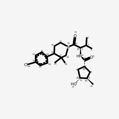 CC(C)[C@@H](NC(=O)[C@@H]1C[C@@H](C)[C@H](O)C1)C(=O)N1CCC(c2ccc(Cl)cc2)C(C)(C)C1